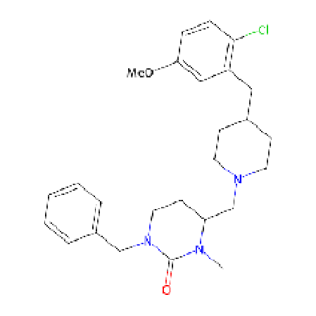 COc1ccc(Cl)c(CC2CCN(CC3CCN(Cc4ccccc4)C(=O)N3C)CC2)c1